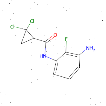 Nc1cccc(NC(=O)C2CC2(Cl)Cl)c1F